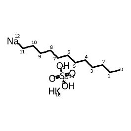 CCCCCCCCCCC[CH2][Na].O=S(=O)(O)O.[KH]